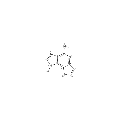 Cn1cnc2c(N)nc3ccsc3c21